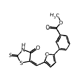 COC(=O)c1cccc(-c2ccc(C=C3SC(=S)NC3=O)o2)c1